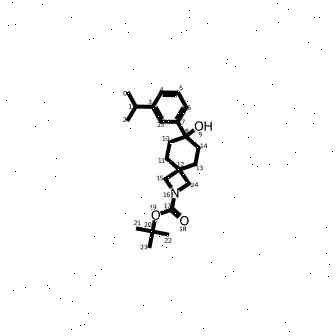 CC(C)c1cccc(C2(O)CCC3(CC2)CN(C(=O)OC(C)(C)C)C3)c1